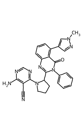 Cn1cc(-c2cccc3nc(C4CCCN4c4ncnc(N)c4C#N)n(-c4ccccc4)c(=O)c23)cn1